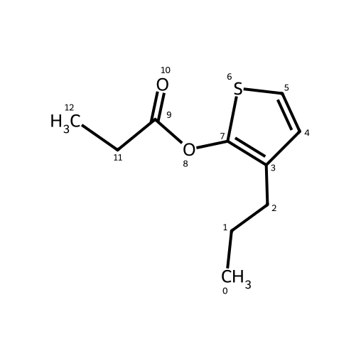 CCCc1ccsc1OC(=O)CC